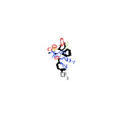 CN1C(=N)N[C@@]2(c3cc(NC(=O)c4ccc(C(F)(F)F)cn4)ccc3F)CCOCC2S1(=O)=O